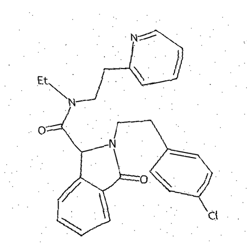 CCN(CCc1ccccn1)C(=O)C1c2ccccc2C(=O)N1CCc1ccc(Cl)cc1